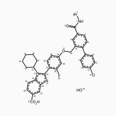 CC(C)NC(=O)c1ccc(-c2ccc(Cl)cc2)c(COc2ccc(-c3nc4cc(C(=O)O)ccc4n3C3CCCCC3)c(F)c2)c1.Cl